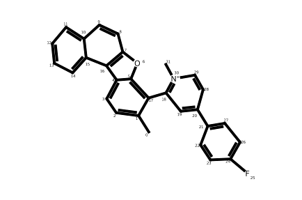 Cc1ccc2c(oc3ccc4ccccc4c32)c1-c1cc(-c2ccc(F)cc2)cc[n+]1C